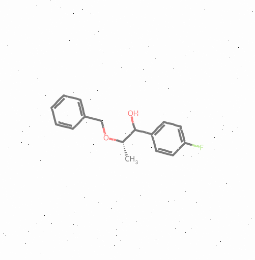 C[C@H](OCc1ccccc1)C(O)c1ccc(F)cc1